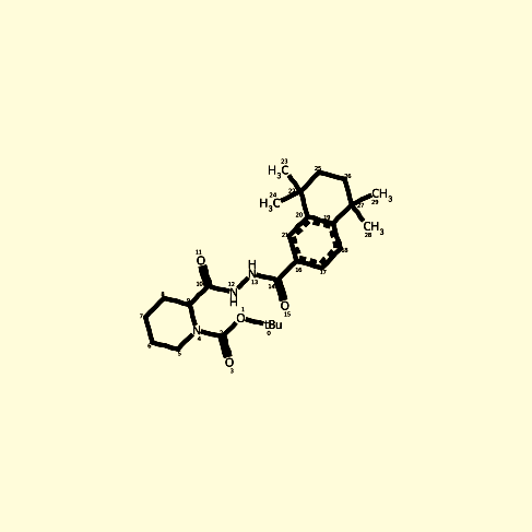 CC(C)(C)OC(=O)N1CCCCC1C(=O)NNC(=O)c1ccc2c(c1)C(C)(C)CCC2(C)C